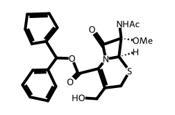 CO[C@@]1(NC(C)=O)C(=O)N2C(C(=O)OC(c3ccccc3)c3ccccc3)=C(CO)CS[C@@H]21